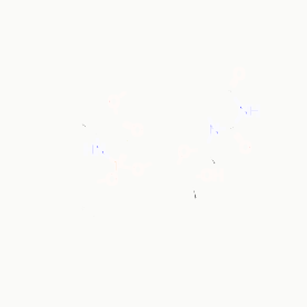 CC(C)OC(=O)[C@H](C)NP(=S)(OC[C@@](F)(O[C@H](CF)n1ccc(=O)[nH]c1=O)[C@H](C)O)Oc1cccc2ccccc12